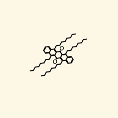 CCCCCCCCc1c2c(c(CCCCCCCC)c3ccccc13)C(=O)c1c(c(CCCCCCCC)c3ccccc3c1CCCCCCCC)C2=O